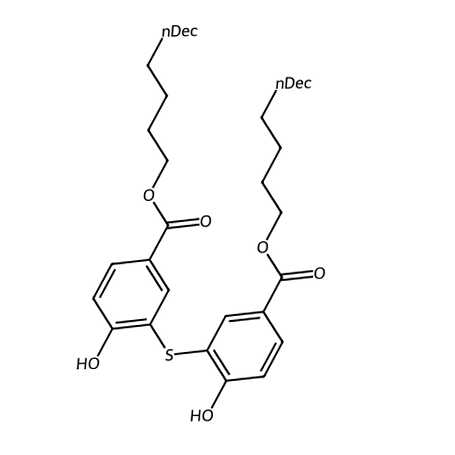 CCCCCCCCCCCCCCOC(=O)c1ccc(O)c(Sc2cc(C(=O)OCCCCCCCCCCCCCC)ccc2O)c1